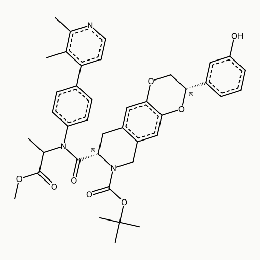 COC(=O)C(C)N(C(=O)[C@@H]1Cc2cc3c(cc2CN1C(=O)OC(C)(C)C)O[C@@H](c1cccc(O)c1)CO3)c1ccc(-c2ccnc(C)c2C)cc1